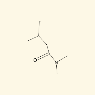 [CH2]C(C)CC(=O)N(C)C